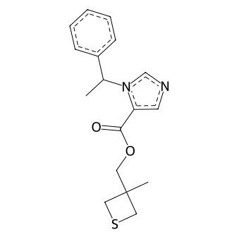 CC(c1ccccc1)n1cncc1C(=O)OCC1(C)CSC1